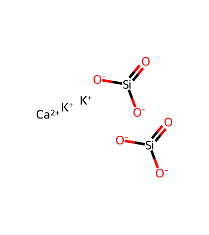 O=[Si]([O-])[O-].O=[Si]([O-])[O-].[Ca+2].[K+].[K+]